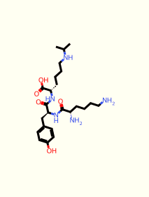 CC(C)NCCCC[C@H](NC(=O)[C@H](Cc1ccc(O)cc1)NC(=O)[C@@H](N)CCCCN)C(=O)O